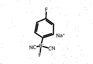 N#C[B-](F)(C#N)c1ccc(F)cc1.[Na+]